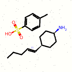 CCC/C=C/[C@H]1CC[C@@H](N)CC1.Cc1ccc(S(=O)(=O)O)cc1